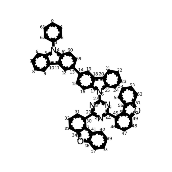 c1ccc(-n2c3ccccc3c3cc(-c4ccc5c(c4)c4ccccc4n5-c4nc(-c5cccc6oc7ccccc7c56)nc(-c5cccc6oc7ccccc7c56)n4)ccc32)cc1